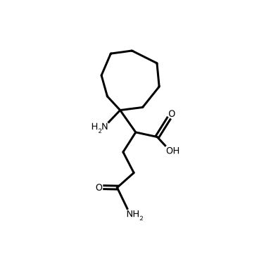 NC(=O)CCC(C(=O)O)C1(N)CCCCCCC1